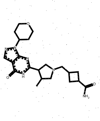 CC1CN(CC2CC(C(N)=O)C2)CC1c1nc2c(cnn2C2CCOCC2)c(=O)[nH]1